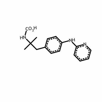 CC(C)(Cc1ccc(Nc2ccccn2)cc1)NC(=O)O